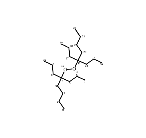 CCCCC(CCC)(CCC)OOC(CCC)(CCC)CCCC